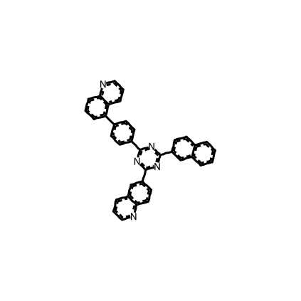 c1ccc2cc(-c3nc(-c4ccc(-c5cccc6ncccc56)cc4)nc(-c4ccc5ncccc5c4)n3)ccc2c1